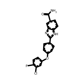 NC(=O)c1ccc2[nH]c(-c3ccc(Oc4ccc(F)c(Cl)c4)cc3)nc2c1